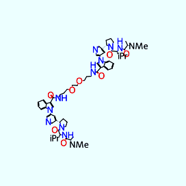 CN[C@@H](C)C(=O)N[C@H](C(=O)N1CCC[C@H]1c1cncc(-n2cc(C(=O)NCCCOCCOCCCNC(=O)c3cn(-c4cncc([C@@H]5CCCN5C(=O)[C@@H](NC(=O)[C@H](C)NC)C(C)C)c4)c4ccccc34)c3ccccc32)c1)C(C)C